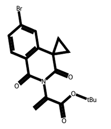 C=C(C(=O)OC(C)(C)C)N1C(=O)c2ccc(Br)cc2C2(CC2)C1=O